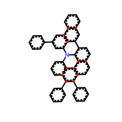 c1ccc(-c2cc(-c3ccccc3)cc(N(c3c(-c4ccccc4)cccc3-c3ccccc3)c3cccc4c(-c5ccccc5)c(-c5ccccc5)c5ccccc5c34)c2)cc1